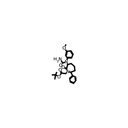 COc1cccc(N(C(N)=O)C2CCCC(c3ccccc3)N(CC(=O)OC(C)(C)C)C2=O)c1